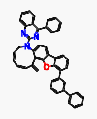 C=C1/C=C\C=C/CN(c2nc(-c3ccccc3)c3ccccc3n2)c2ccc3c(oc4c(-c5cccc(-c6ccccc6)c5)cccc43)c21